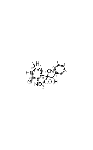 N#CC(Cc1ccccc1)(C(=O)O)c1nc(N)[nH]c(=O)c1[N+](=O)[O-]